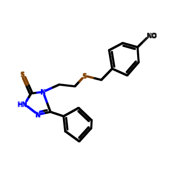 O=Nc1ccc(CSCCn2c(-c3ccccc3)n[nH]c2=S)cc1